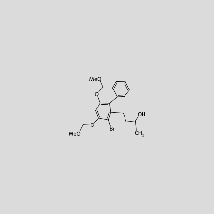 COCOc1cc(OCOC)c(-c2ccccc2)c(CCC(C)O)c1Br